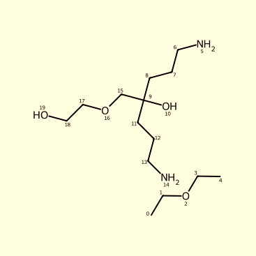 CCOCC.NCCCC(O)(CCCN)COCCO